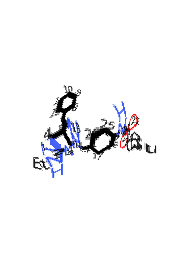 CCNc1ncc2c(-c3ccccc3)nn(CC3CCC(NC(=O)OC(C)(C)C)CC3)c2n1